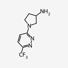 NC1CCN(c2ccc(C(F)(F)F)nn2)C1